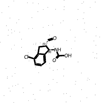 O=C[C@H]1Cc2c(Cl)cccc2[C@@H]1NC(=O)O